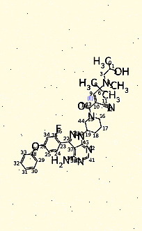 CC(O)CN(C)C(C)(C)/C=C(\C#N)C(=O)N1CCCC(n2nc(-c3ccc(Oc4ccccc4)cc3F)c3c(N)ncnc32)C1